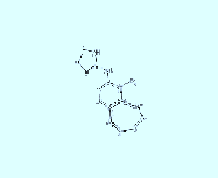 Brc1c(NC2=NCCN2)ccc2c1=NC=CC=C=2